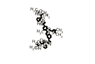 COC(=O)N[C@H](C(=O)N1CCC[C@H]1c1ncc(-c2cc(C)c3c(c2)OC(c2cc(C)c(C)s2)n2c-3cc3cc(-c4cnc([C@@H]5CCCN5C(=O)[C@@H](NC(=O)OC)C(C)C)[nH]4)ccc32)[nH]1)C(C)C